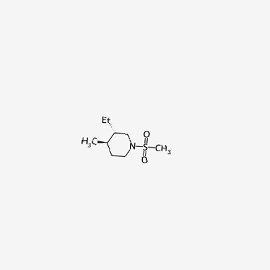 CC[C@@H]1CN(S(C)(=O)=O)CC[C@H]1C